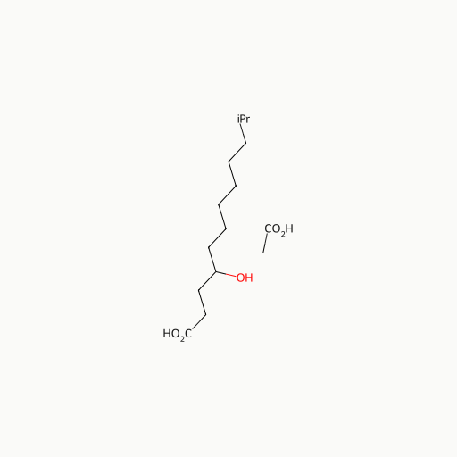 CC(=O)O.CC(C)CCCCCCC(O)CCC(=O)O